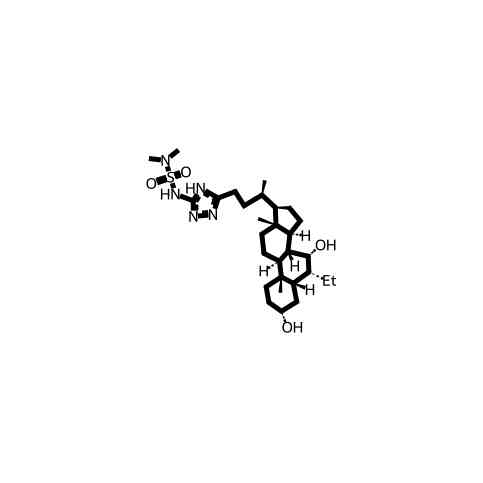 CC[C@H]1[C@@H](O)[C@@H]2[C@H](CC[C@]3(C)[C@@H]([C@H](C)CCc4nnc(NS(=O)(=O)N(C)C)[nH]4)CC[C@@H]23)[C@@]2(C)CC[C@@H](O)C[C@@H]12